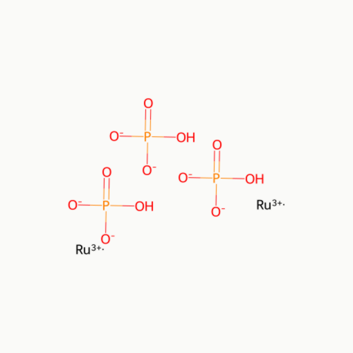 O=P([O-])([O-])O.O=P([O-])([O-])O.O=P([O-])([O-])O.[Ru+3].[Ru+3]